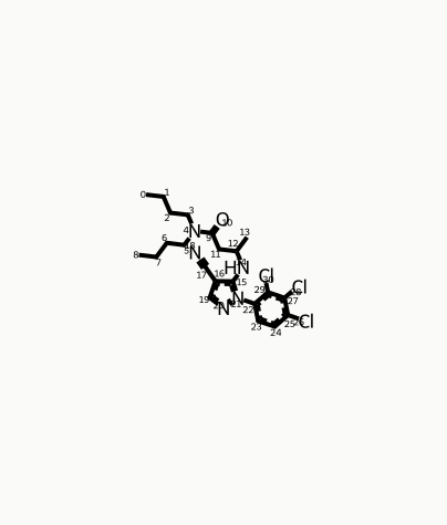 CCCCN(CCCC)C(=O)CC(C)Nc1c(C#N)cnn1-c1ccc(Cl)c(Cl)c1Cl